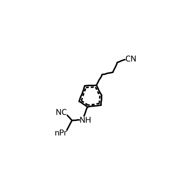 CCCC(C#N)Nc1ccc(CCCC#N)cc1